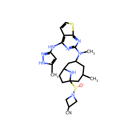 Cc1cc(Nc2nc(N(C)C3CC(C)CC4([S+]([O-])N5CC(C#N)C5)CCC(C3)N4)nc3sccc23)n[nH]1